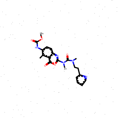 CCN(C(=O)N(C)CCc1ccccn1)c1nc2ccc(NC(=O)OC(C)(C)C)c(C)c2c(=O)o1